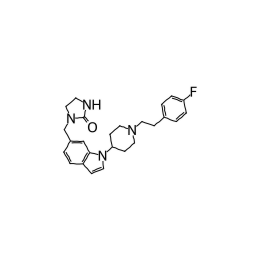 O=C1NCCN1Cc1ccc2ccn(C3CCN(CCc4ccc(F)cc4)CC3)c2c1